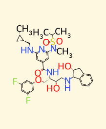 CC(C)S(=O)(=O)N(C)c1cc(C(=O)N[C@@H](COc2cc(F)cc(F)c2)[C@H](O)CN[C@@H]2c3ccccc3C[C@H]2O)cc(NC[C@H]2C[C@@H]2C)n1